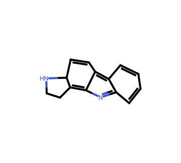 C1=CC2NCCC2=C2N=c3ccccc3=C12